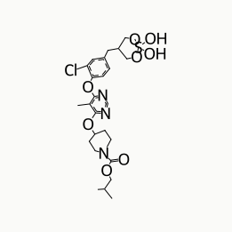 Cc1c(Oc2ccc(CC3COS(O)(O)OC3)cc2Cl)ncnc1OC1CCN(C(=O)OCC(C)C)CC1